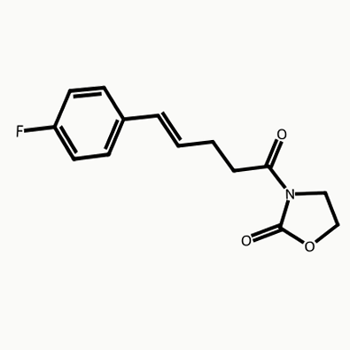 O=C(CC/C=C/c1ccc(F)cc1)N1CCOC1=O